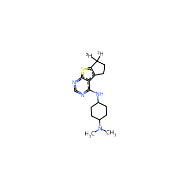 [2H]C1([2H])CCc2c1sc1ncnc(NC3CCC(N(C)C)CC3)c21